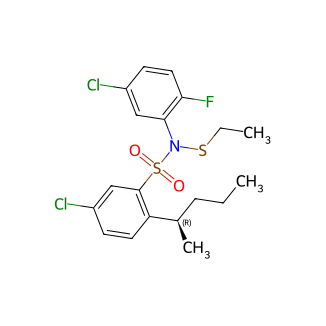 CCC[C@@H](C)c1ccc(Cl)cc1S(=O)(=O)N(SCC)c1cc(Cl)ccc1F